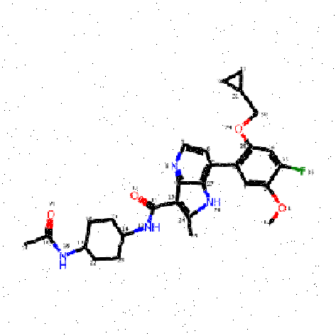 COc1cc(-c2ccnc3c(C(=O)NC4CCC(NC(C)=O)CC4)c(C)[nH]c23)c(OCC2CC2)cc1F